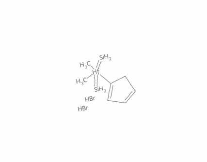 Br.Br.[CH3][Hf]([CH3])(=[SiH2])(=[SiH2])[C]1=CC=CC1